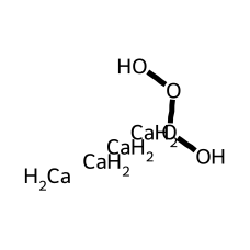 OOOO.[CaH2].[CaH2].[CaH2].[CaH2]